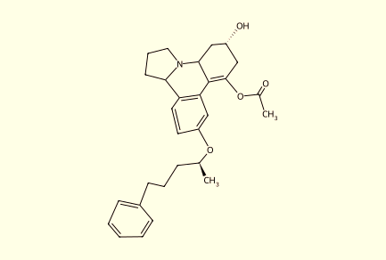 CC(=O)OC1=C2c3cc(O[C@@H](C)CCCc4ccccc4)ccc3C3CCCN3C2C[C@H](O)C1